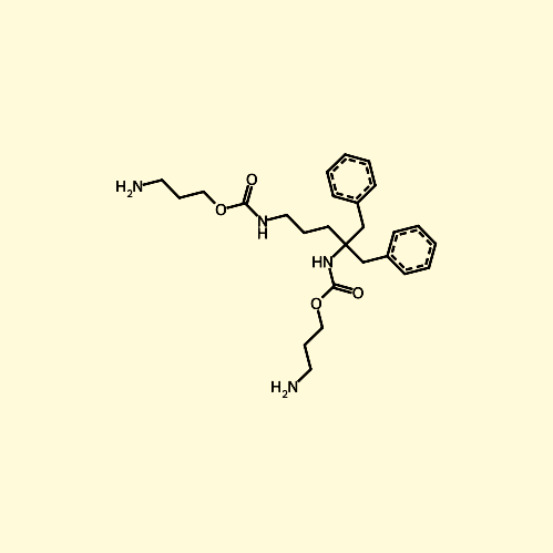 NCCCOC(=O)NCCCC(Cc1ccccc1)(Cc1ccccc1)NC(=O)OCCCN